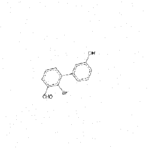 O=Cc1cccc(-c2cccc(O)c2)c1Br